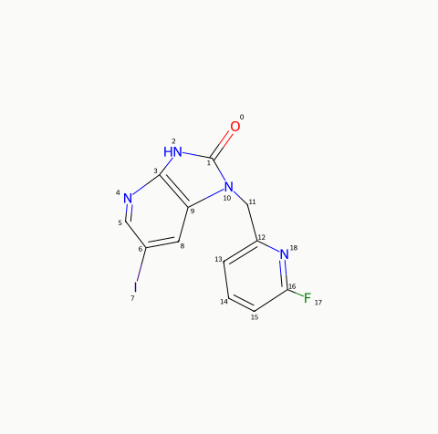 O=c1[nH]c2ncc(I)cc2n1Cc1cccc(F)n1